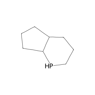 C1CPC2CCCC2C1